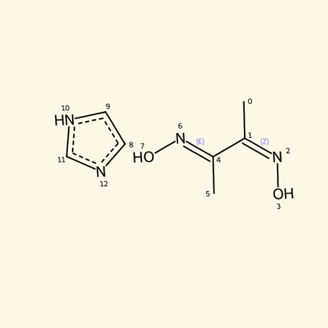 CC(=N/O)/C(C)=N/O.c1c[nH]cn1